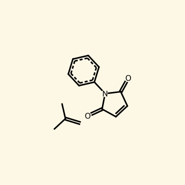 C=C(C)C.O=C1C=CC(=O)N1c1ccccc1